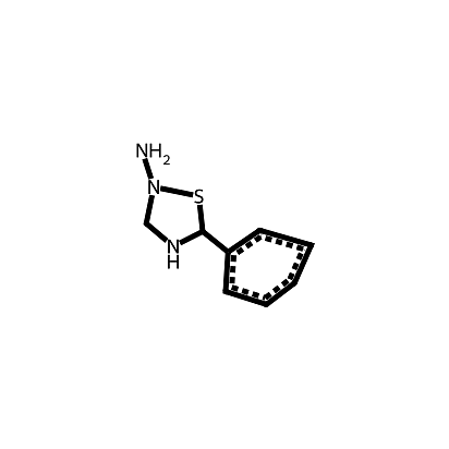 NN1CNC(c2ccccc2)S1